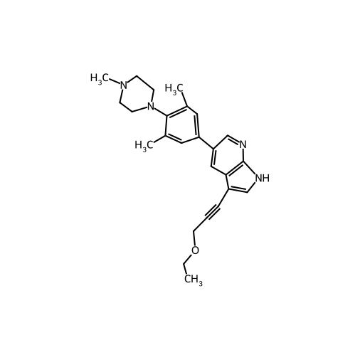 CCOCC#Cc1c[nH]c2ncc(-c3cc(C)c(N4CCN(C)CC4)c(C)c3)cc12